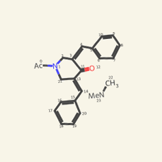 CC(=O)N1CC(=Cc2ccccc2)C(=O)C(=Cc2ccccc2)C1.CNC